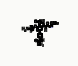 CO/N=C\C(=O)NC1S[C@H]2CC(=O)N2C(C(=O)Oc2csc(N)n2)=C1CSc1cc[n+](NC(N)=O)cc1